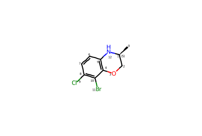 C[C@H]1COc2c(ccc(Cl)c2Br)N1